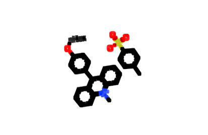 CCCCCCOc1ccc(-c2c3ccccc3[n+](C)c3ccccc23)cc1.Cc1ccc(S(=O)(=O)[O-])cc1